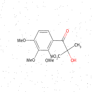 COc1ccc(C(=O)C(C)(O)C(=O)O)c(OC)c1OC